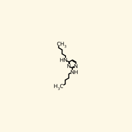 CCCCCNc1ccnc(NCCCCC)n1